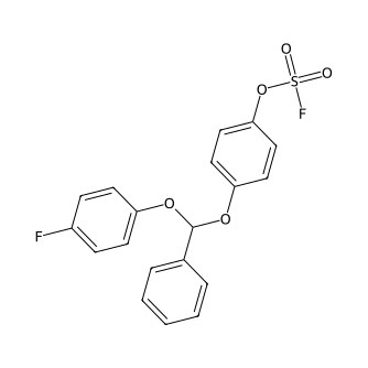 O=S(=O)(F)Oc1ccc(OC(Oc2ccc(F)cc2)c2ccccc2)cc1